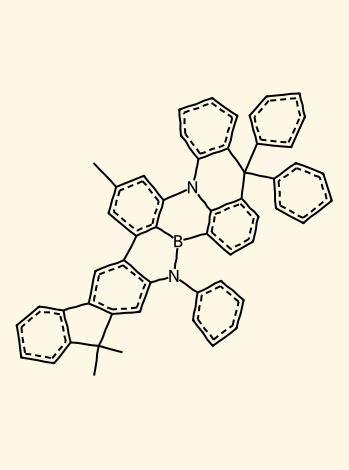 Cc1cc2c3c(c1)N1c4ccccc4C(c4ccccc4)(c4ccccc4)c4cccc(c41)B3N(c1ccccc1)c1cc3c(cc1-2)-c1ccccc1C3(C)C